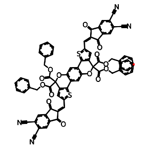 N#Cc1cc2c(cc1C#N)C(=O)C(=Cc1cc3c(s1)-c1cc4c(cc1OC3(C(=O)OCc1ccccc1)C(=O)OCc1ccccc1)-c1sc(C=C3C(=O)c5cc(C#N)c(C#N)cc5C3=O)cc1C(C(=O)OCc1ccccc1)(C(=O)OCc1ccccc1)O4)C2=O